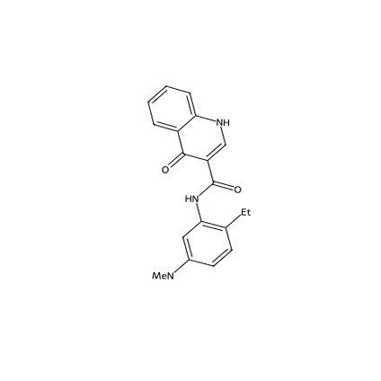 CCc1ccc(NC)cc1NC(=O)c1c[nH]c2ccccc2c1=O